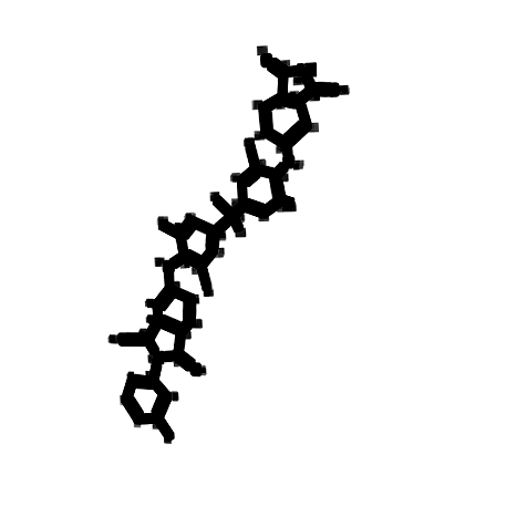 Cc1cccc(N2C(=O)c3ccc(Oc4c(C)cc(C(C)(C)c5cc(C)c(Oc6ccc7c(c6)C(=O)NC7=O)c(C)c5)cc4C)cc3C2=O)c1